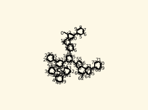 Cc1cc(-c2ccccc2)cc2c1ccc1cc(-c3cc(-c4cc(-c5ccccc5)cc([Si](c5ccccc5)(c5ccccc5)c5ccccc5)c4)cc(-c4ccc5c(c4)cc(C)c4ccc(-c6ccccc6)cc45)c3)ccc12